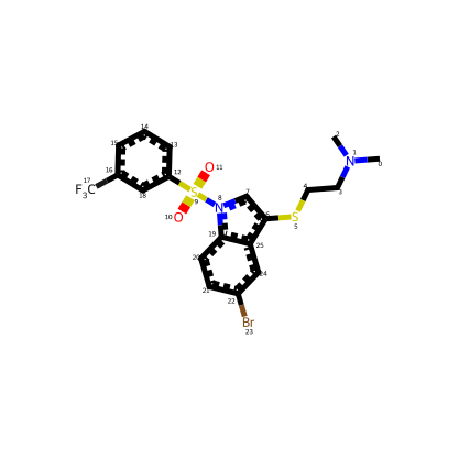 CN(C)CCSc1cn(S(=O)(=O)c2cccc(C(F)(F)F)c2)c2ccc(Br)cc12